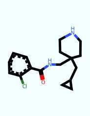 O=C(NCC1(CC2CC2)CCNCC1)c1ccccc1Cl